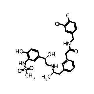 C[C@H](Cc1cccc(CC(=O)NCc2ccc(Cl)c(Cl)c2)c1)NC[C@@H](O)c1ccc(O)c(NS(C)(=O)=O)c1